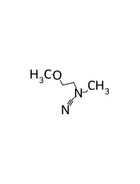 CCN(C#N)CCOC